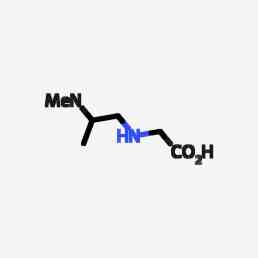 CNC(C)CNCC(=O)O